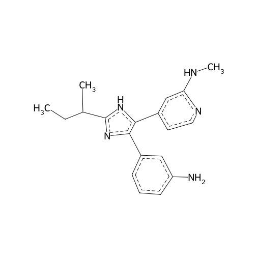 CCC(C)c1nc(-c2cccc(N)c2)c(-c2ccnc(NC)c2)[nH]1